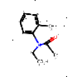 CCC(=O)N(CC(=O)O)c1ccccc1C